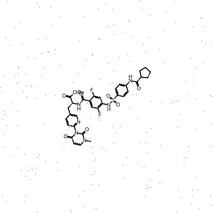 CC(C)COC(=O)[C@H](Cc1ccc(-n2c(=O)ccn(C)c2=O)nc1)NC(=O)c1cc(F)c(NS(=O)(=O)c2ccc(NC(=O)C3CCCC3)cc2)cc1F